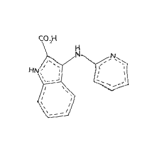 O=C(O)c1[nH]c2ccccc2c1Nc1ccccn1